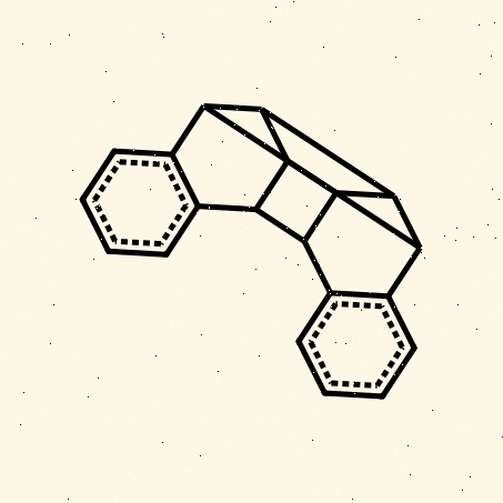 c1ccc2c(c1)C1C3c4ccccc4C4C2C2C1C3C42